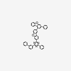 c1ccc(-c2cccc(-c3nc(-c4ccccc4)nc(-c4ccc5c(c4)oc4ccc(-c6cc(-c7ccccc7)cc7oc8ccccc8c67)cc45)n3)c2)cc1